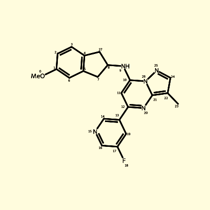 COc1ccc2c(c1)CC(Nc1cc(-c3cncc(F)c3)nc3c(C)cnn13)C2